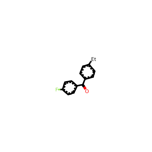 [CH2-][CH+]c1ccc(C(=O)c2ccc(F)cc2)cc1